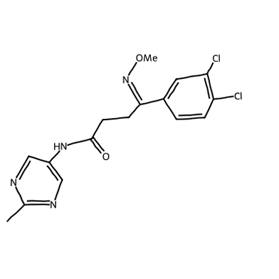 CON=C(CCC(=O)Nc1cnc(C)nc1)c1ccc(Cl)c(Cl)c1